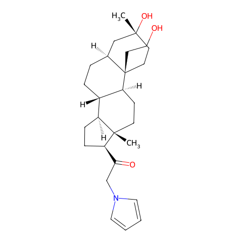 C[C@@]1(O)CC[C@@]2(CCO)[C@@H](CC[C@H]3[C@@H]4CC[C@H](C(=O)Cn5cccc5)[C@@]4(C)CC[C@@H]32)C1